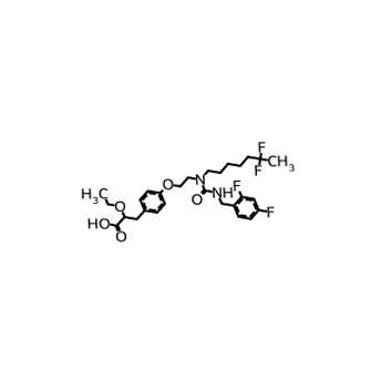 CCOC(Cc1ccc(OCCN(CCCCCC(C)(F)F)C(=O)NCc2ccc(F)cc2F)cc1)C(=O)O